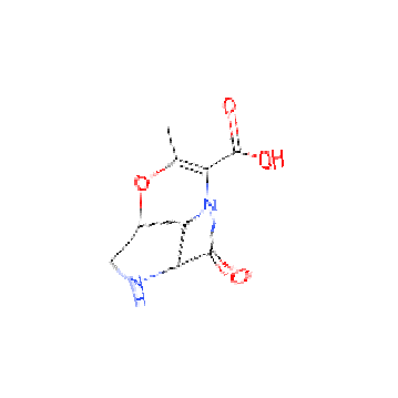 CC1=C(C(=O)O)N2C(=O)C3NCC(O1)C32